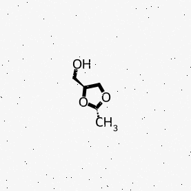 C[C@H]1OC[C@H](CO)O1